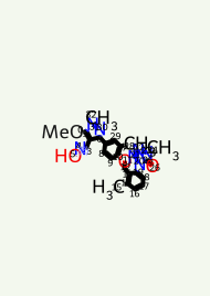 COc1c(/C=N/O)c(-c2ccc(OCc3c(C)cccc3-n3nnn(C)c3=O)c(C)c2)nn1C